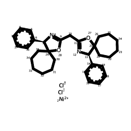 [Cl-].[Cl-].[Ni+2].c1ccc([C@H]2N=C(CC3=N[C@H](c4ccccc4)C4(CCCCCC4)O3)OC23CCCCCC3)cc1